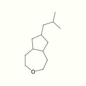 CC(C)CC1CC2CCOCCC2C1